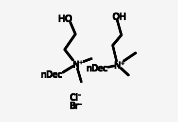 CCCCCCCCCC[N+](C)(C)CCO.CCCCCCCCCC[N+](C)(C)CCO.[Br-].[Cl-]